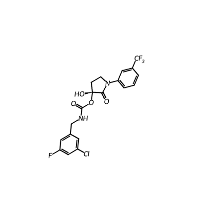 O=C(NCc1cc(F)cc(Cl)c1)O[C@]1(O)CCN(c2cccc(C(F)(F)F)c2)C1=O